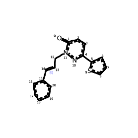 O=c1ccc(-c2cccs2)nn1C/C=C/c1ccccc1